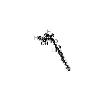 O=C(CCCC(=O)NCc1cn([C@H]2CC(O)[C@@H](CO)O2)c(=O)[nH]c1=O)NCCOCCOCCCCCCCl